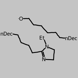 CCCCCCCCCCCCCCC1=NCCN1CC.CCCCCCCCCCCCCCCC[O]